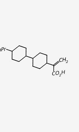 C=C(C(=O)O)C1CCC(C2CCC(CCC)CC2)CC1